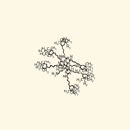 CN1C(C)(C)CC(CCCCNc2nc(NCCCCC3CC(C)(C)N(C)C(C)(C)C3)nc(C(NCCCN)C(NCCCN)(c3nc(NCCCCC4CC(C)(C)N(C)C(C)(C)C4)nc(NCCCCC4CC(C)(C)N(C)C(C)(C)C4)n3)c3nc(NCCCCC4CC(C)(C)N(C)C(C)(C)C4)nc(NCCCCC4CC(C)(C)N(C)C(C)(C)C4)n3)n2)CC1(C)C